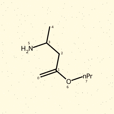 C=C(CC(C)N)OCCC